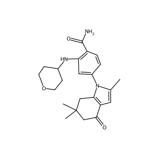 Cc1cc2c(n1-c1ccc(C(N)=O)c(NC3CCOCC3)c1)CC(C)(C)CC2=O